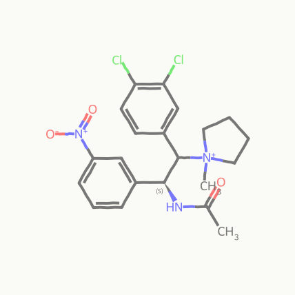 CC(=O)N[C@@H](c1cccc([N+](=O)[O-])c1)C(c1ccc(Cl)c(Cl)c1)[N+]1(C)CCCC1